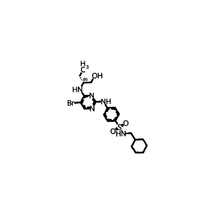 CC[C@H](CO)Nc1nc(Nc2ccc(S(=O)(=O)NCC3CCCCC3)cc2)ncc1Br